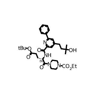 CCOC(=O)N1CCN(C(=O)[C@H](CCC(=O)OC(C)(C)C)NC(=O)c2cc(CCC(C)(C)O)cc(-c3ccccc3)n2)CC1